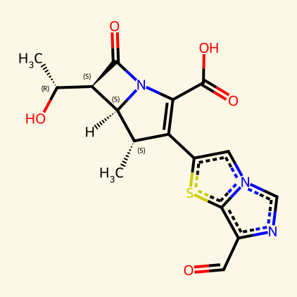 C[C@@H](O)[C@H]1C(=O)N2C(C(=O)O)=C(c3cn4cnc(C=O)c4s3)[C@H](C)[C@@H]12